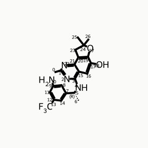 Cc1nc(N[C@H](C)c2cc(N)cc(C(F)(F)F)c2)c2cc(O)c3c(c2n1)CC(C)(C)O3